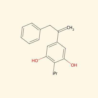 C=C(Cc1ccccc1)c1cc(O)c(C(C)C)c(O)c1